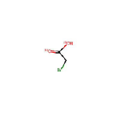 [18O]=C([18OH])CBr